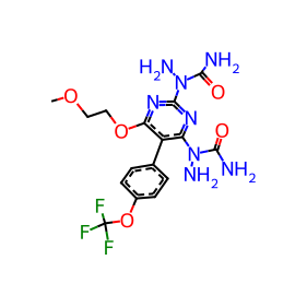 COCCOc1nc(N(N)C(N)=O)nc(N(N)C(N)=O)c1-c1ccc(OC(F)(F)F)cc1